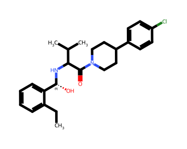 CCc1ccccc1[C@@H](O)NC(C(=O)N1CCC(c2ccc(Cl)cc2)CC1)C(C)C